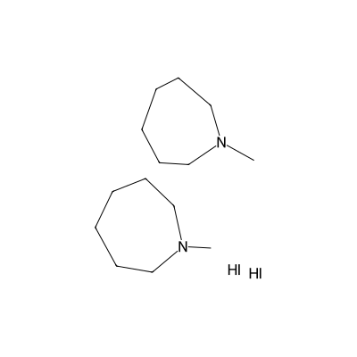 CN1CCCCCC1.CN1CCCCCC1.I.I